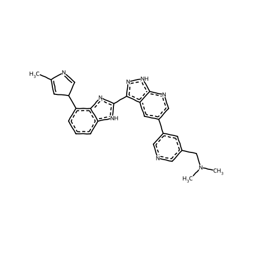 CC1=CC(c2cccc3[nH]c(-c4n[nH]c5ncc(-c6cncc(CN(C)C)c6)cc45)nc23)C=N1